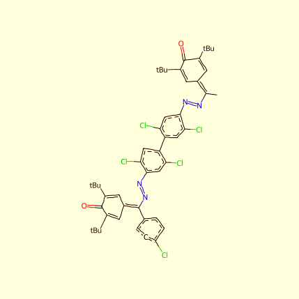 CC(/N=N/c1cc(Cl)c(-c2cc(Cl)c(/N=N/C(=C3C=C(C(C)(C)C)C(=O)C(C(C)(C)C)=C3)c3ccc(Cl)cc3)cc2Cl)cc1Cl)=C1C=C(C(C)(C)C)C(=O)C(C(C)(C)C)=C1